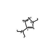 CN(C)c1cn(C)nn1